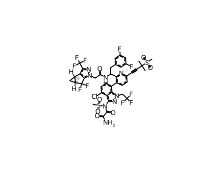 CC(C)(C#Cc1ccc(-c2ccc(Cl)c3c(N(C(=O)C(N)=O)S(C)(=O)=O)nn(CC(F)(F)F)c23)c(C(Cc2cc(F)cc(F)c2)NC(=O)Cn2nc(C(F)(F)F)c3c2C(F)(F)[C@@H]2C[C@H]32)n1)S(C)(=O)=O